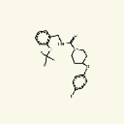 O=C(NCc1ccccc1OC(F)(F)F)N1CCC(Oc2ccc(F)cc2)CC1